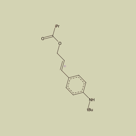 CC(C)C(=O)OC/C=C/c1ccc(NC(C)(C)C)cc1